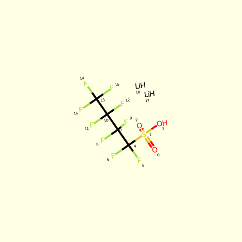 O=S(=O)(O)C(F)(F)C(F)(F)C(F)(F)C(F)(F)F.[LiH].[LiH]